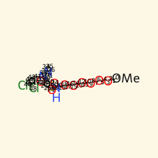 COCCOCCOCCOCCOCCOCCOCCNS(=O)(=O)c1cccc([C@@H](CN2CCCC2)N(C)C(=O)Cc2ccc(Cl)c(Cl)c2)c1